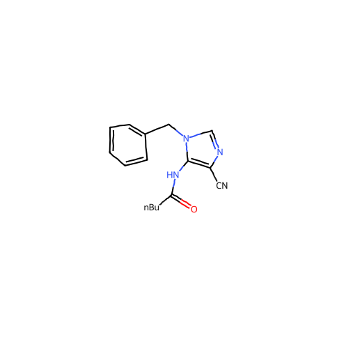 CCCCC(=O)Nc1c(C#N)ncn1Cc1ccccc1